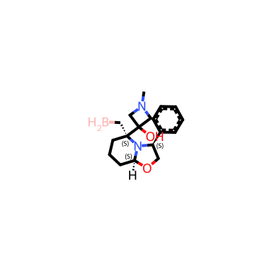 BC[C@@]1(C2(O)CN(C)C2)CCC[C@@H]2OC[C@H](c3ccccc3)N21